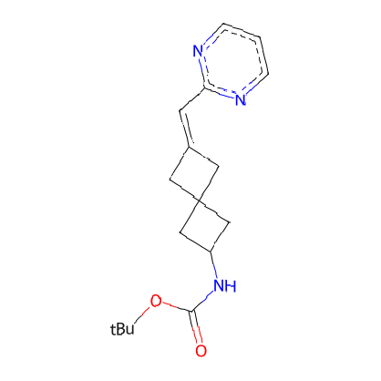 CC(C)(C)OC(=O)NC1CC2(CC(=Cc3ncccn3)C2)C1